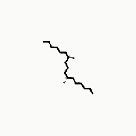 CCCCCC[C@@H](C)CCC[C@@H](C)CCCCCC